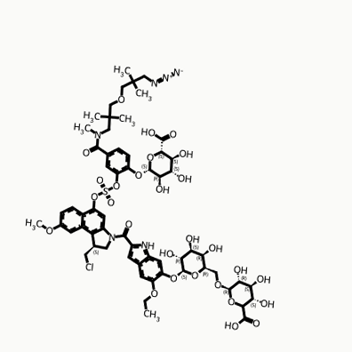 CCOc1cc2cc(C(=O)N3C[C@@H](CCl)c4c3cc(OS(=O)(=O)Oc3cc(C(=O)N(C)CC(C)(C)COCC(C)(C)CN=[N+]=[N-])ccc3O[C@@H]3O[C@H](C(=O)O)[C@@H](O)[C@H](O)[C@H]3O)c3ccc(OC)cc43)[nH]c2cc1O[C@@H]1O[C@H](CO[C@@H]2OC(C(=O)O)[C@@H](O)[C@H](O)[C@H]2O)[C@H](O)[C@H](O)[C@H]1O